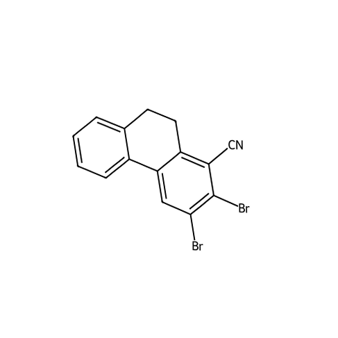 N#Cc1c(Br)c(Br)cc2c1CCc1ccccc1-2